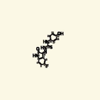 O=C1Nc2ccc(F)cc2/C1=N/NC(=S)Nc1ccc(O)cc1